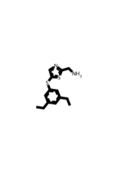 CCc1cc(CC)cc(Sc2cnc(CN)s2)c1